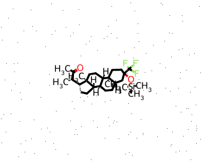 CC(=O)[C@@H](C)[C@H]1CC[C@H]2[C@@H]3CC[C@H]4CC(O[Si](C)(C)C)(C(F)(F)F)CC[C@]4(C)[C@H]3CC[C@]12C